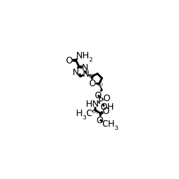 COC(=O)[C@H](C)NP(=O)(O)OC[C@@H]1CC[C@H](n2cnc(C(N)=O)n2)O1